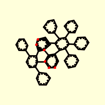 c1ccc(-c2ccc(-c3ccccc3)c(-c3ccccc3-c3ccccc3-c3c(-c4ccccc4)c(-c4ccccc4)c(-c4ccccc4)c(-c4ccccc4)c3-c3ccccc3)c2-c2ccccc2)cc1